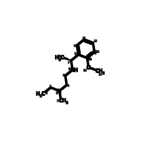 CCN(C)CCN[C@H](C)c1cccnc1OC